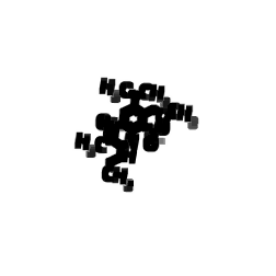 CCCC(CC)Nc1c([N+](=O)[O-])cc(C(C)C)c(COC)c1[N+](=O)[O-]